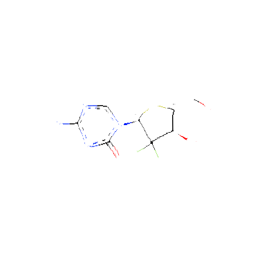 Nc1ncn([C@H]2S[C@H](CO)[C@@H](O)C2(F)F)c(=O)n1